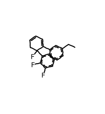 CCc1cccc(C2=CC=CCC2(F)c2cccc(F)c2F)c1